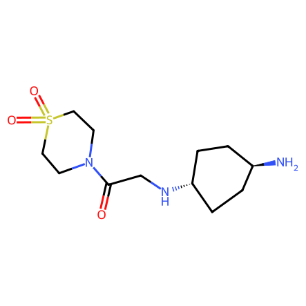 N[C@H]1CC[C@H](NCC(=O)N2CCS(=O)(=O)CC2)CC1